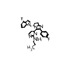 CCCNc1nccc(-c2c(-c3ccc(F)cc3)nc3n2[C@H](Cn2ccc4c(F)cccc42)CC3)n1